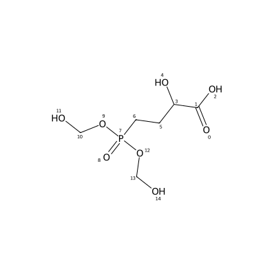 O=C(O)C(O)CCP(=O)(OCO)OCO